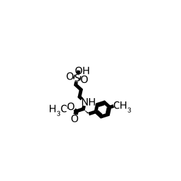 COC(=O)[C@@H](Cc1ccc(C)cc1)NCCCS(=O)(=O)O